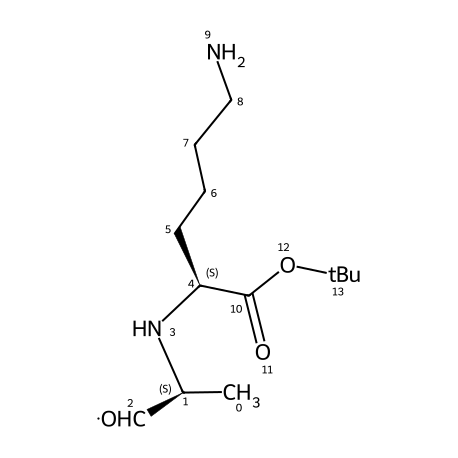 C[C@@H]([C]=O)N[C@@H](CCCCN)C(=O)OC(C)(C)C